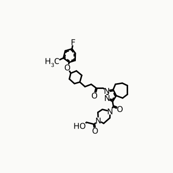 Cc1cc(F)ccc1OC1CCC(CCC(=O)Cn2nc(C(=O)N3CCN(C(=O)CO)CC3)c3c2CCCCC3)CC1